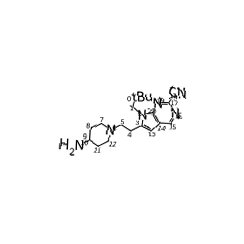 CC(C)(C)Cn1c(CCN2CCC(N)CC2)cc2cnc(C#N)nc21